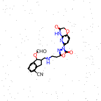 N#Cc1cccc2c1CC(CNCCc1nn(-c3ccc4c(n3)NC(=O)CO4)c(=O)o1)C2OC=O